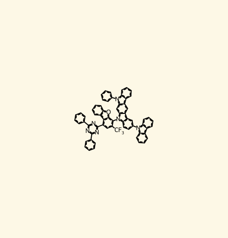 FC(F)(F)c1cc(-c2nc(-c3ccccc3)nc(-c3ccccc3)n2)c2c(oc3ccccc32)c1-n1c2ccc(-n3c4ccccc4c4ccccc43)cc2c2cc3c4ccccc4n(-c4ccccc4)c3cc21